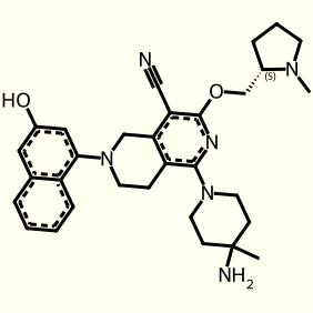 CN1CCC[C@H]1COc1nc(N2CCC(C)(N)CC2)c2c(c1C#N)CN(c1cc(O)cc3ccccc13)CC2